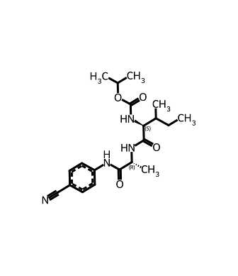 CCC(C)[C@H](NC(=O)OC(C)C)C(=O)N[C@H](C)C(=O)Nc1ccc(C#N)cc1